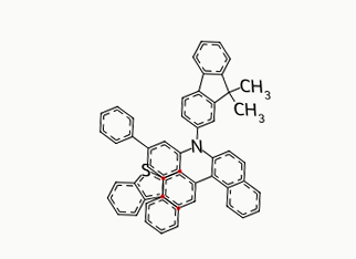 CC1(C)c2ccccc2-c2ccc(N(c3cc(-c4ccccc4)cc(-c4ccccc4)c3)c3ccc4ccccc4c3-c3ccc4c(c3)sc3ccccc34)cc21